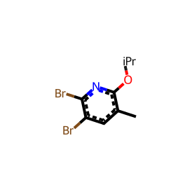 Cc1cc(Br)c(Br)nc1OC(C)C